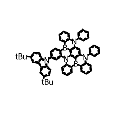 CC(C)(C)c1ccc2c(c1)c1cc(C(C)(C)C)ccc1n2-c1ccc2c(c1)N1c3ccccc3B3c4ccccc4N(c4ccccc4)c4cc5c(c1c43)B2c1ccccc1N5c1ccccc1